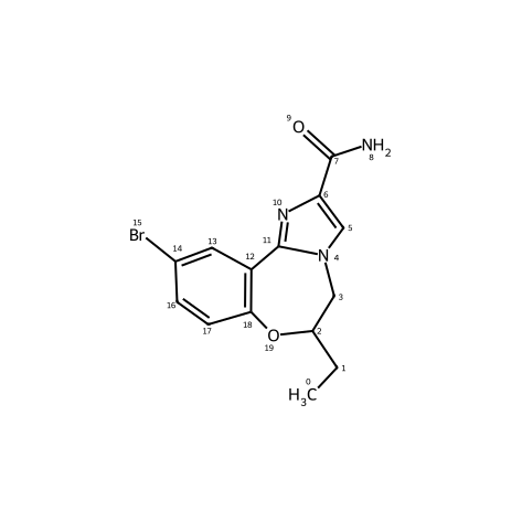 CCC1Cn2cc(C(N)=O)nc2-c2cc(Br)ccc2O1